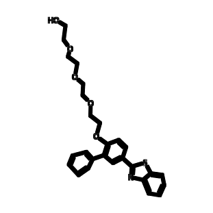 OCCOCCOCCOCCOc1ccc(-c2nc3ccccc3s2)cc1-c1ccccc1